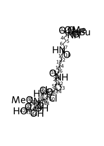 COC(=O)[C@H](CCCCNC(=O)CCCCCCC(=O)NCc1cccc(COc2c(Cl)cc(C(=O)N[C@H]3[C@@H](OC)O[C@H](CO)[C@@H](O)[C@@H]3O)c(C)c2Cl)c1)NC(=O)OC(C)(C)C